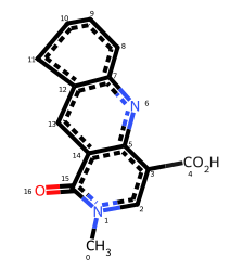 Cn1cc(C(=O)O)c2nc3ccccc3cc2c1=O